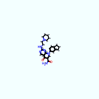 NC(=O)c1cn(-c2ccc3c(c2)CCC3)c2nc(NCCN3CCCCC3)ncc2c1=O